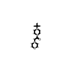 CC(C)(C)N1CCN(C(=O)CN2CCOCC2)CC1